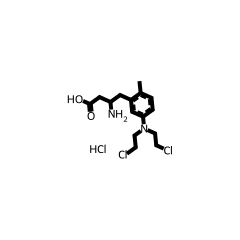 Cc1ccc(N(CCCl)CCCl)cc1CC(N)CC(=O)O.Cl